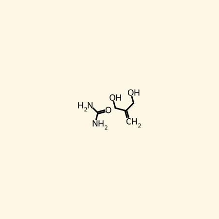 C=C(CO)CO.NC(N)=O